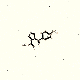 COC(=O)c1cccn1C(=O)c1ccc([N+](=O)[O-])cc1